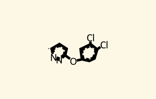 Clc1ccc(Oc2cc[c]nn2)cc1Cl